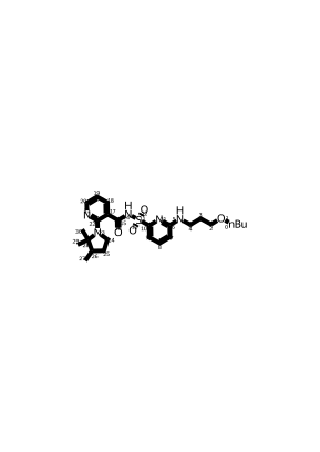 CCCCOCCCNc1cccc(S(=O)(=O)NC(=O)c2cccnc2N2CCC(C)C2(C)C)n1